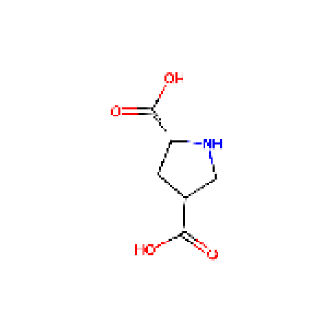 O=C(O)C1CN[C@@H](C(=O)O)C1